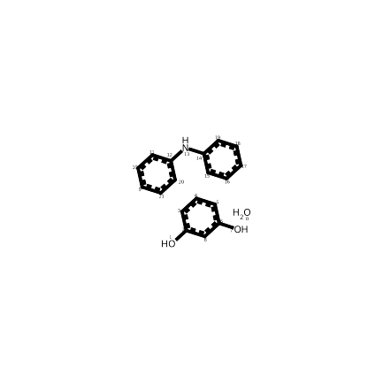 O.Oc1cccc(O)c1.c1ccc(Nc2ccccc2)cc1